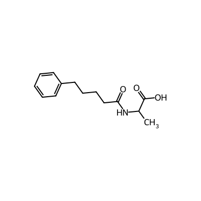 CC(NC(=O)CCCCc1ccccc1)C(=O)O